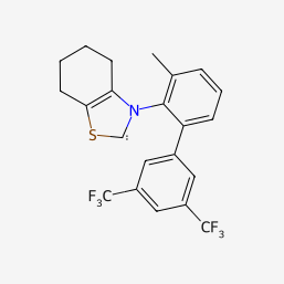 Cc1cccc(-c2cc(C(F)(F)F)cc(C(F)(F)F)c2)c1N1[C]SC2=C1CCCC2